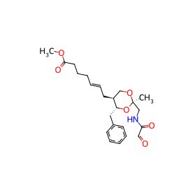 COC(=O)CCCC=CC[C@H]1CO[C@@](C)(CNC(=O)C=O)O[C@@H]1Cc1ccccc1